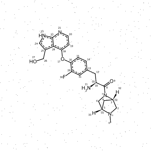 CN1C[C@@H]2C[C@H]1CN2C(=O)[C@@H](N)Cc1ccc(Oc2ccnc3[nH]cc(CO)c23)c(F)c1